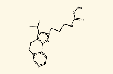 CC(C)(C)OC(=O)NCCCn1nc2c(c1C(F)F)CCc1cnccc1-2